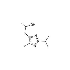 Cc1nc(C(C)C)nn1CC(C)O